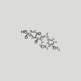 C=CCc1c(C2CC2c2ccc(C)cc2)oc2ccc(C(=O)O)cc2c1=O